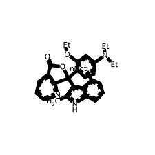 CCCCCCCCc1cccc2[nH]c(C)c(C3(c4ccc(N(CC)CC)cc4OCC)OC(=O)c4cccnc43)c12